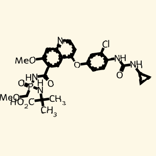 COCP(=O)(NC(=O)c1cc2c(Oc3ccc(NC(=O)NC4CC4)c(Cl)c3)ccnc2cc1OC)NC(C)(C)C(=O)O